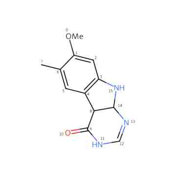 COc1cc2c(cc1C)C1C(=O)NC=NC1N2